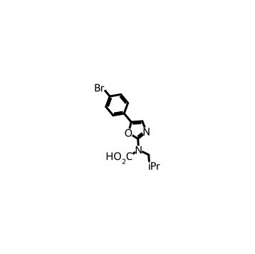 CC(C)CN(C(=O)O)c1ncc(-c2ccc(Br)cc2)o1